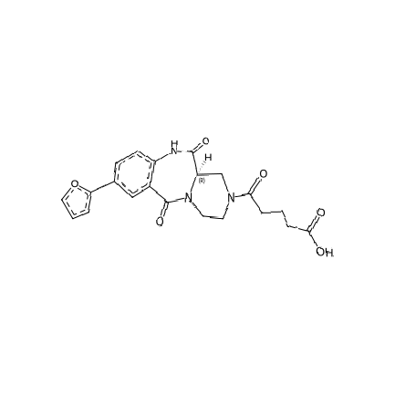 O=C(O)CCCC(=O)N1CCN2C(=O)c3cc(-c4ccco4)ccc3NC(=O)[C@H]2C1